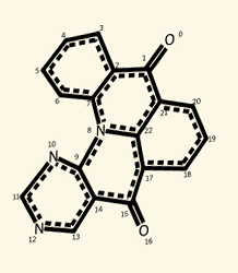 O=c1c2ccccc2n2c3ncncc3c(=O)c3cccc1c32